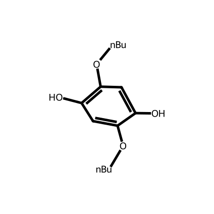 CCCCOc1cc(O)c(OCCCC)cc1O